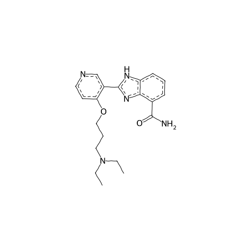 CCN(CC)CCCOc1ccncc1-c1nc2c(C(N)=O)cccc2[nH]1